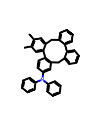 Cc1cc2c(cc1C)-c1ccc(N(c3ccccc3)c3ccccc3)cc1Cc1ccccc1-c1ccccc1C2